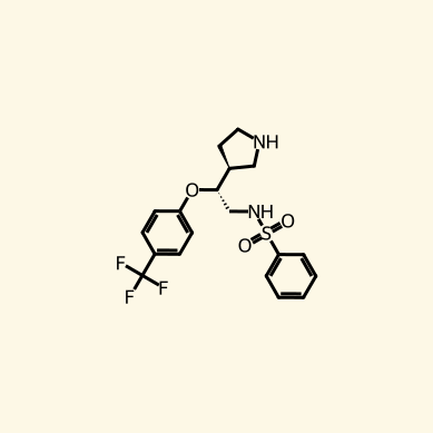 O=S(=O)(NC[C@H](Oc1ccc(C(F)(F)F)cc1)[C@H]1CCNC1)c1ccccc1